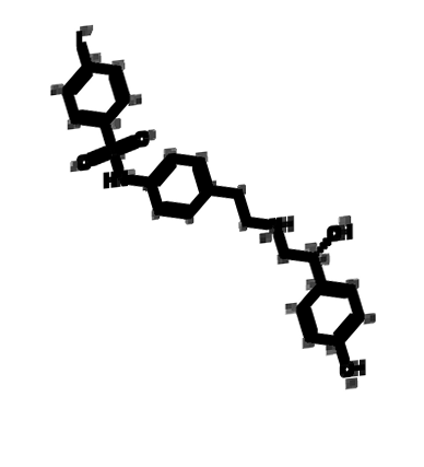 O=S(=O)(Nc1ccc(CCNC[C@H](O)c2ccc(O)cc2)cc1)c1ccc(I)cc1